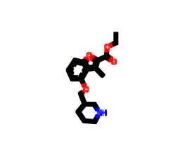 CCOC(=O)c1oc2cccc(OCC3CCCNC3)c2c1C